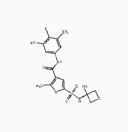 Cc1cc(NC(=O)c2cc(S(=O)(=O)NC3(C)COC3)sc2C)cc(C#N)c1F